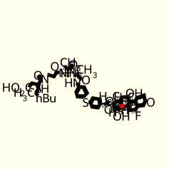 CCCCC(C)SC(CC(=O)O)C(=O)NCCC(=O)N[C@@H](C)C(=O)N[C@@H](C)C(=O)Nc1ccc(Sc2ccc([C@@H]3O[C@@H]4C[C@H]5[C@@H]6C[C@H](F)C7=CC(=O)C=C[C@]7(C)[C@@]6(F)[C@@H](O)C[C@]5(C)[C@]4(C(=O)CO)O3)cc2)cc1